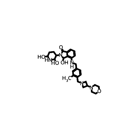 Cc1cc(CNc2cccc3c2C(O)N(C2CCC(O)NC2O)C3=O)ccc1CN1CC(N2CCOCC2)C1